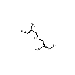 CCSC(C)CNCC(C)SCC